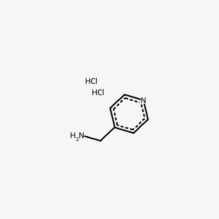 Cl.Cl.NCc1ccncc1